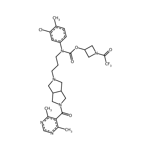 Cc1ccc(N(CCCN2CC3CN(C(=O)c4c(C)ncnc4C)CC3C2)C(=O)OC2CN(C(=O)C(F)(F)F)C2)cc1Cl